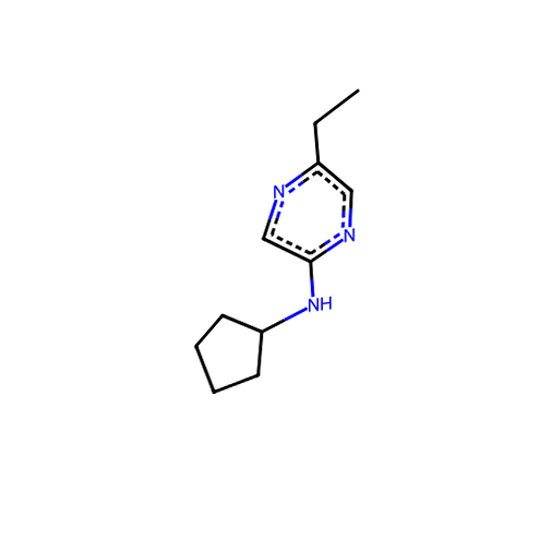 CCc1cnc(NC2CCCC2)cn1